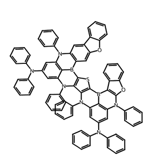 c1ccc(N(c2ccccc2)c2cc3c4c(c2)N(c2ccccc2)c2c(sc5c2N(c2ccccc2)c2cc(N(c6ccccc6)c6ccccc6)cc6c2B5c2c(oc5ccccc25)N6c2ccccc2)B4c2cc4oc5ccccc5c4cc2N3c2ccccc2)cc1